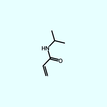 [CH]=CC(=O)NC(C)C